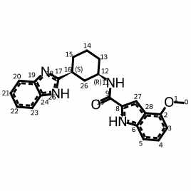 COc1cccc2[nH]c(C(=O)N[C@@H]3CCC[C@H](c4nc5ccccc5[nH]4)C3)cc12